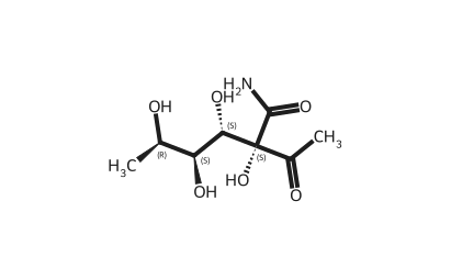 CC(=O)[C@](O)(C(N)=O)[C@@H](O)[C@@H](O)[C@@H](C)O